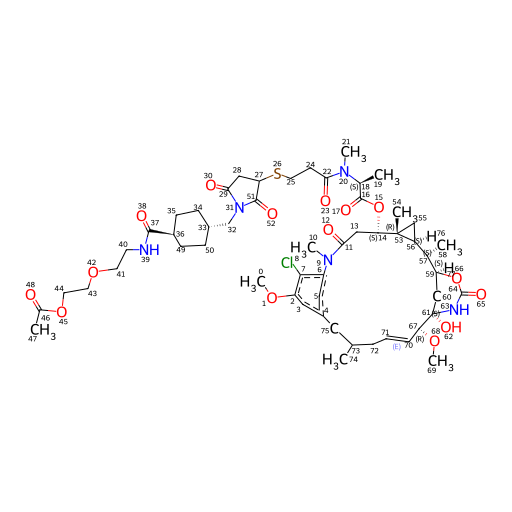 COc1cc2cc(c1Cl)N(C)C(=O)C[C@H](OC(=O)[C@H](C)N(C)C(=O)CCSC1CC(=O)N(C[C@H]3CC[C@H](C(=O)NCCOCCOC(C)=O)CC3)C1=O)[C@]1(C)C[C@H]1[C@H](C)[C@@H]1C[C@@](O)(NC(=O)O1)[C@H](OC)/C=C/CC(C)C2